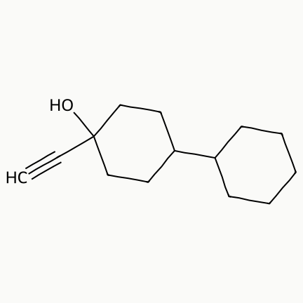 C#CC1(O)CCC(C2CCCCC2)CC1